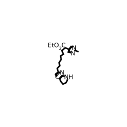 CCOC(=O)C(CCCCCCCc1ccc2c(n1)NCCCC2)c1cnc(C)nc1